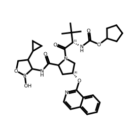 CC(C)(C)[C@H](NC(=O)OC1CCCC1)C(=O)N1C[C@H](Oc2nccc3ccccc23)CC1C(=O)NC1B(O)OCC1C1CC1